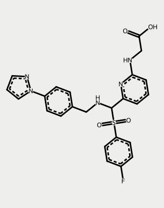 O=C(O)CNc1cccc(C(NCc2ccc(-n3cccn3)cc2)S(=O)(=O)c2ccc(F)cc2)n1